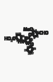 COc1cc(C=O)ccc1Oc1nc(Nc2cccc(C(=O)O)c2)nc(Oc2ccccc2)n1